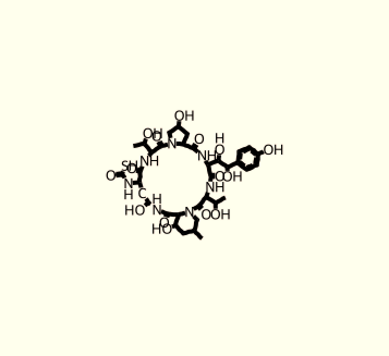 CC1CC(O)C2C(=O)NC(O)CC(NC(=O)S)C(=O)NC(C(C)O)C(=O)N3CC(O)CC3C(=O)NC(C(O)C(O)c3ccc(O)cc3)C(=O)NC(C(C)O)C(=O)N2C1